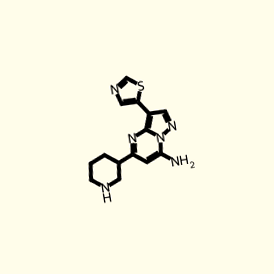 Nc1cc(C2CCCNC2)nc2c(-c3cncs3)cnn12